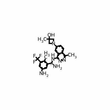 Cc1c([C@@H](N)Nc2nnc(C)c3ccc(N4CC(C)(O)C4)cc23)cc(N)cc1C(F)(F)F